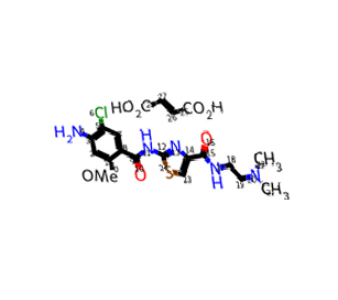 COc1cc(N)c(Cl)cc1C(=O)Nc1nc(C(=O)NCCN(C)C)cs1.O=C(O)C=CC(=O)O